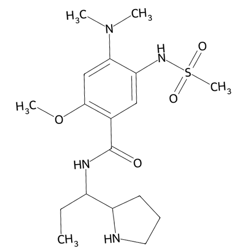 CCC(NC(=O)c1cc(NS(C)(=O)=O)c(N(C)C)cc1OC)C1CCCN1